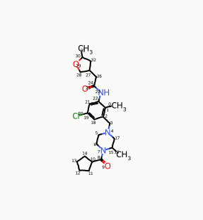 Cc1c(CN2CCN(C(=O)C3CCCC3)C(C)C2)cc(Cl)cc1NC(=O)CC1COC(C)C1